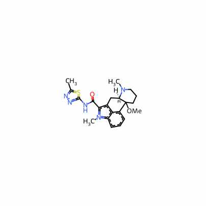 COC12CCCN(C)[C@@H]1Cc1c(C(=O)Nc3nnc(C)s3)n(C)c3cccc2c13